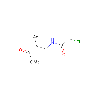 COC(=O)C(CNC(=O)CCl)C(C)=O